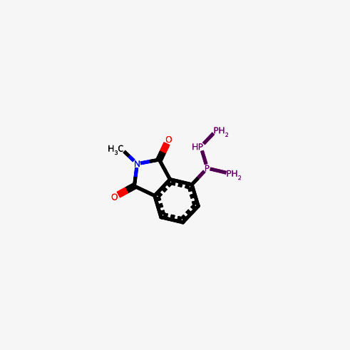 CN1C(=O)c2cccc(P(P)PP)c2C1=O